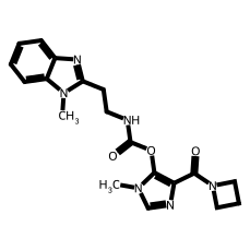 Cn1cnc(C(=O)N2CCC2)c1OC(=O)NCCc1nc2ccccc2n1C